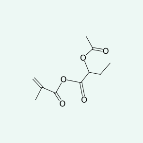 C=C(C)C(=O)OC(=O)C(CC)OC(C)=O